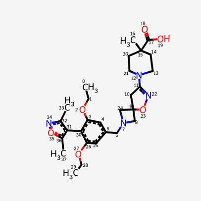 CCOc1cc(CN2CC3(CC(N4CCC(C)(C(=O)O)CC4)=NO3)C2)cc(OCC)c1-c1c(C)noc1C